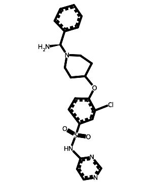 N[C@@H](c1ccccc1)N1CCC(Oc2ccc(S(=O)(=O)Nc3ccncn3)cc2Cl)CC1